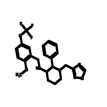 COc1ccc(OC(F)(F)F)cc1CNC1CCCN(Cc2ncon2)C1c1ccccc1